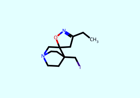 CCC1=NOC2(C1)CN1CCC2(CI)CC1